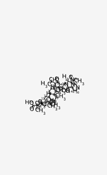 CC(C)C1=C2[C@H]3CC[C@@H]4[C@@]5(C)CC[C@H](OC(=O)CC(C)(C)C(=O)O)C(C)(C)[C@@H]5CC[C@@]4(C)[C@]3(C)CCC2(C(O)CN(CCN(C)C)C(=O)c2ccncn2)CC1=O